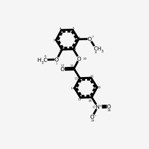 COc1cccc(OC)c1OC(=O)c1ccc([N+](=O)[O-])cc1